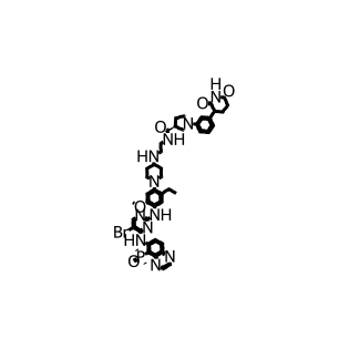 CCc1cc(Nc2ncc(Br)c(Nc3ccc4nccnc4c3P(C)(C)=O)n2)c(OC)cc1N1CCC(NCCNC(=O)[C@H]2CCN(c3cccc(C4CCC(=O)NC4=O)c3)C2)CC1